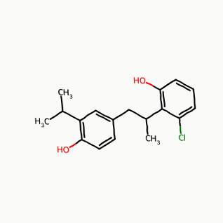 CC(C)c1cc(CC(C)c2c(O)cccc2Cl)ccc1O